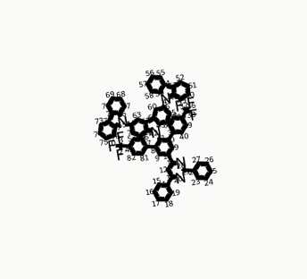 FC(F)(F)c1ccc(-c2cc(-c3cc(-c4ccccc4)nc(-c4ccccc4)n3)cc(-c3ccc(C(F)(F)F)cc3)c2-n2c3ccc(-n4c5ccccc5c5ccccc54)cc3c3cc(-n4c5ccccc5c5ccccc54)ccc32)cc1